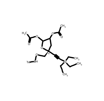 [3H]BOC[C@]1(C#C[Si](CC)(CC)CC)CC(OC(C)=O)C(OC(C)=O)O1